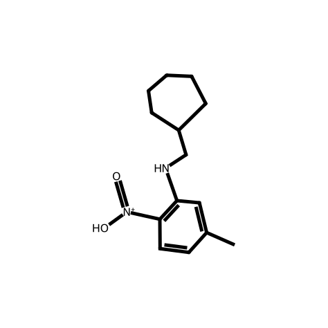 Cc1ccc([N+](=O)O)c(NCC2CCCCC2)c1